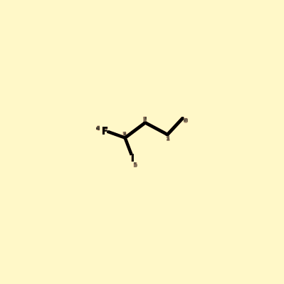 CCCC(F)I